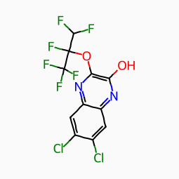 Oc1nc2cc(Cl)c(Cl)cc2nc1OC(F)(C(F)F)C(F)(F)F